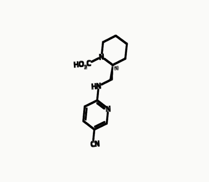 N#Cc1ccc(NC[C@@H]2CCCCN2C(=O)O)nc1